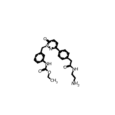 CCOC(=O)Nc1cccc(Cn2nc(-c3ccc(CC(=O)NCCN)cc3)ccc2=O)c1